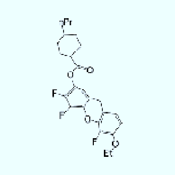 CCCC1CCC(C(=O)Oc2cc3c(c(F)c2F)Oc2c(ccc(OCC)c2F)C3)CC1